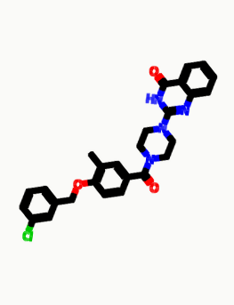 Cc1cc(C(=O)N2CCN(c3nc4ccccc4c(=O)[nH]3)CC2)ccc1OCc1cccc(Cl)c1